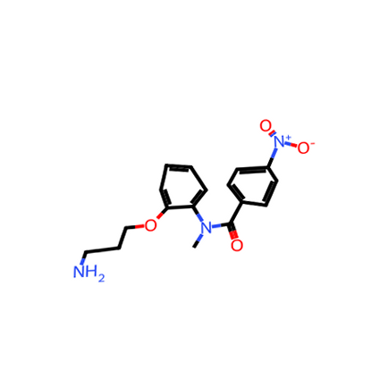 CN(C(=O)c1ccc([N+](=O)[O-])cc1)c1ccccc1OCCCN